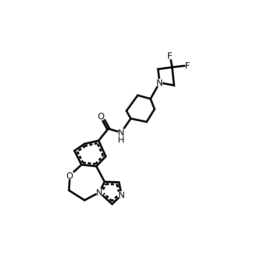 O=C(NC1CCC(N2CC(F)(F)C2)CC1)c1ccc2c(c1)-c1cncn1CCO2